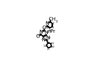 CCCn1c(Oc2cccc(C)n2)nc(=O)c2c1N=C(C1CCCC1)[N]2